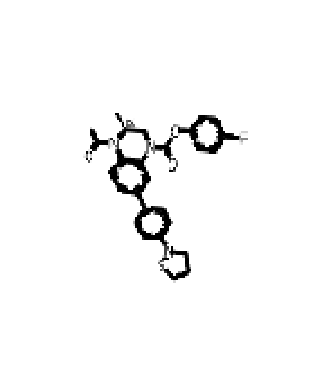 CC(=O)N1c2ccc(-c3ccc(N4CCCS4)cc3)cc2N(C(=O)Oc2ccc(F)cc2)C[C@@H]1C